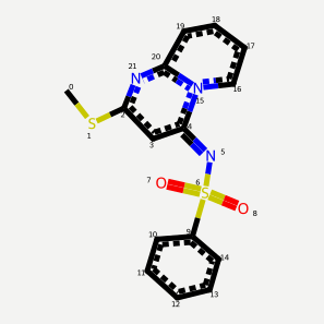 CSc1cc(=NS(=O)(=O)c2ccccc2)n2ccccc2n1